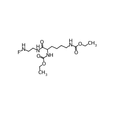 CCOC(=O)NCCCCC(NC(=O)OCC)C(=O)NCCNF